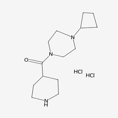 Cl.Cl.O=C(C1CCNCC1)N1CCN(C2CCC2)CC1